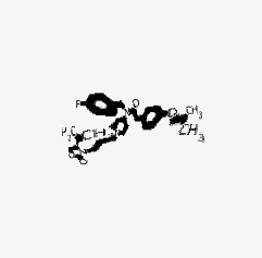 CC(C)COc1ccc(CC(=O)N(Cc2ccc(F)cc2)C2CCN(CCCN3C(=O)OC[C@H]3C(C)C)CC2)cc1